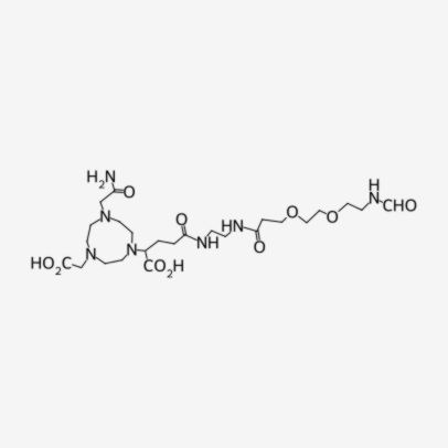 NC(=O)CN1CCN(CC(=O)O)CCN(C(CCC(=O)NCCNC(=O)CCOCCOCCNC=O)C(=O)O)CC1